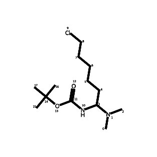 CN(C)C(CCCCCCl)NC(=O)OC(C)(C)C